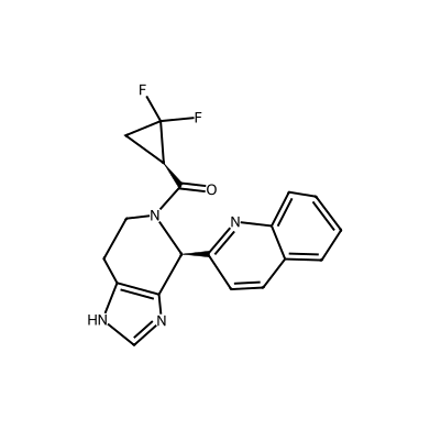 O=C([C@H]1CC1(F)F)N1CCc2[nH]cnc2[C@@H]1c1ccc2ccccc2n1